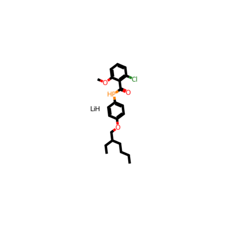 CCCCC(CC)COc1ccc(PC(=O)c2c(Cl)cccc2OC)cc1.[LiH]